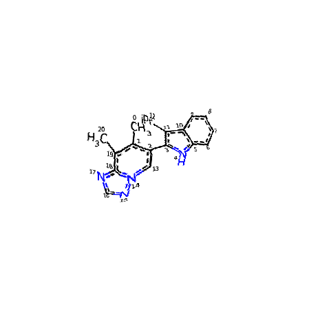 Cc1c(-c2[nH]c3ccccc3c2C(C)C)cn2ncnc2c1C